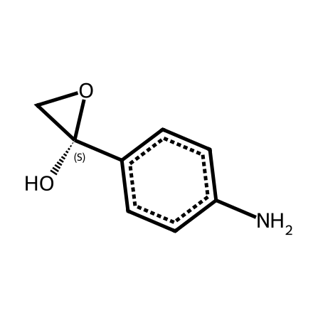 Nc1ccc([C@@]2(O)CO2)cc1